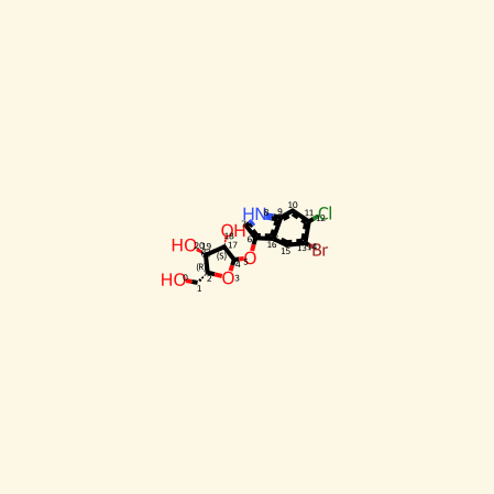 OC[C@H]1OC(Oc2c[nH]c3cc(Cl)c(Br)cc23)[C@@H](O)[C@@H]1O